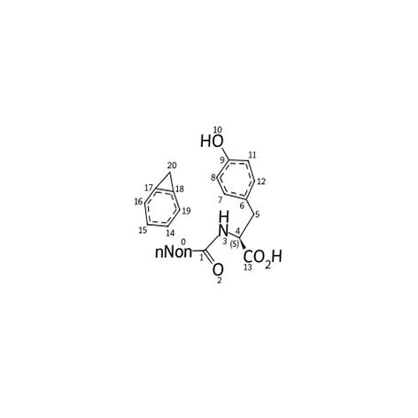 CCCCCCCCCC(=O)N[C@@H](Cc1ccc(O)cc1)C(=O)O.c1ccc2c(c1)C2